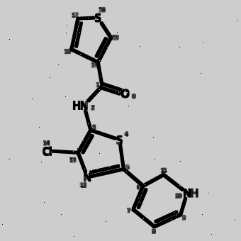 O=C(Nc1sc(C2=CC=CNC2)nc1Cl)c1ccsc1